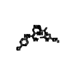 Cc1nc(C(F)(F)F)cn1C(C)C(=O)N/C(CN)=C(/Nc1ccc(Cl)cc1)C(C)C